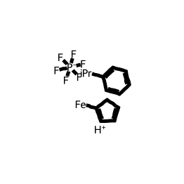 CC(C)c1ccccc1.F[P-](F)(F)(F)(F)F.[Fe][C]1=CC=CC1.[H+]